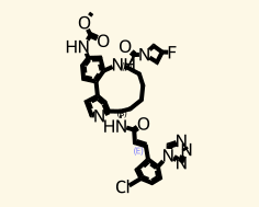 COC(=O)Nc1ccc2c(c1)N[C@@H](C(=O)N1CC(F)C1)CCCC[C@H](NC(=O)/C=C/c1cc(Cl)ccc1-n1cnnn1)c1cc-2ccn1